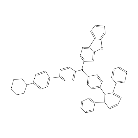 c1ccc(-c2cccc(-c3ccccc3)c2-c2ccc(N(c3ccc(-c4ccc(C5CCCCC5)cc4)cc3)c3ccc4c(c3)oc3ccccc34)cc2)cc1